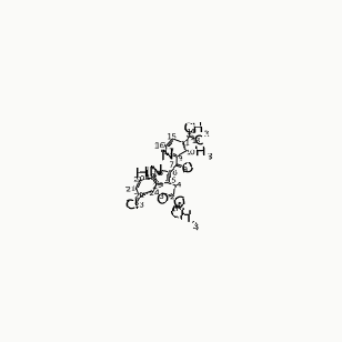 COC(=O)Cc1c(C(=O)c2cc(C(C)C)ccn2)[nH]c2ccc(Cl)cc12